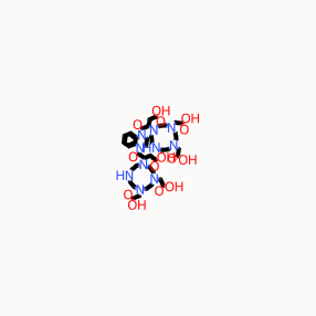 O=C(O)CC(C(=O)N1CCN(C(=O)C(CC(=O)O)N2CCNCCN(CC(=O)O)CCN(CC(=O)O)CC2)c2ccccc21)N1CCNCCN(CC(=O)O)CCN(CC(=O)O)CC1